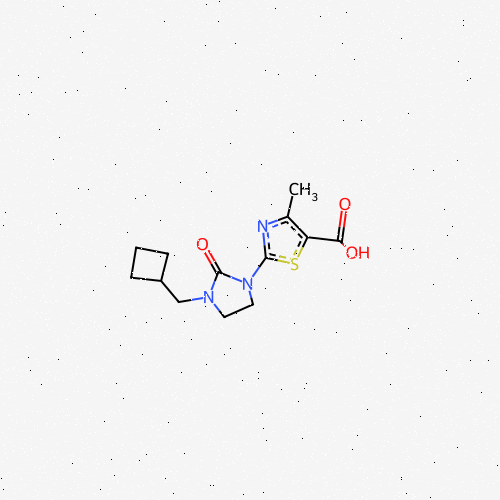 Cc1nc(N2CCN(CC3CCC3)C2=O)sc1C(=O)O